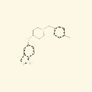 Fc1ccc(CN2CCC(Nc3ccc4[nH]ncc4c3)CC2)cc1